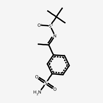 C/C(=N\[S+]([O-])C(C)(C)C)c1cccc(S(N)(=O)=O)c1